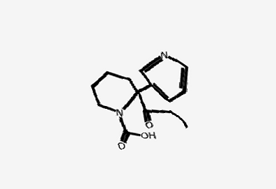 CCC(=O)C1(c2cccnc2)CCCCN1C(=O)O